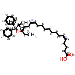 CCC(CC/C=C\CCCCCCC/C=C\CCCC(=O)O)O[Si](c1ccccc1)(c1ccccc1)C(C)(C)C